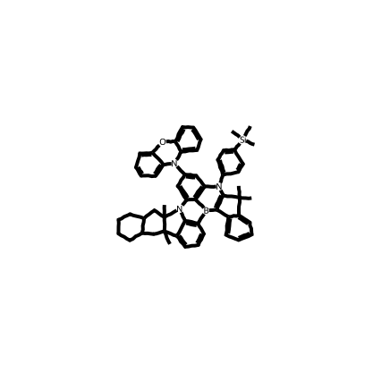 CC1(C)C2=C(B3c4cccc5c4N(c4cc(N6c7ccccc7Oc7ccccc76)cc(c43)N2c2ccc([Si](C)(C)C)cc2)C2(C)CC3CCCCC3CC52C)c2ccccc21